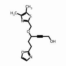 Cc1nc(COC(C#CCO)CCc2ncco2)sc1C